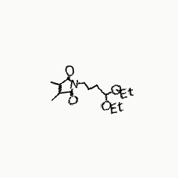 CCOC(CCCN1C(=O)C(C)=C(C)C1=O)OCC